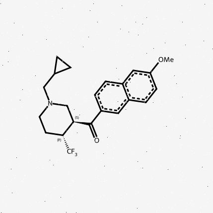 COc1ccc2cc(C(=O)[C@@H]3CN(CC4CC4)CC[C@H]3C(F)(F)F)ccc2c1